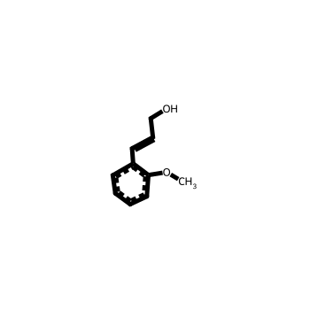 COc1ccccc1C=CCO